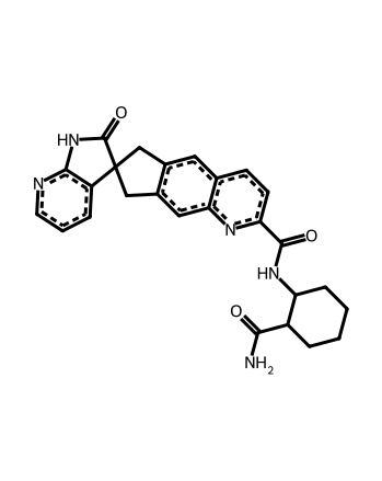 NC(=O)C1CCCCC1NC(=O)c1ccc2cc3c(cc2n1)CC1(C3)C(=O)Nc2ncccc21